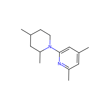 Cc1cc(C)nc(N2CCC(C)CC2C)c1